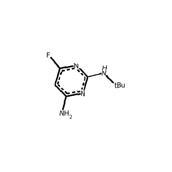 CC(C)(C)Nc1nc(N)cc(F)n1